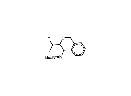 [N-]=[N+]=NC1c2ccccc2COC1C(F)F